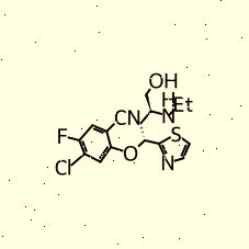 CCN[C@H](CO)C[C@@H](Oc1cc(Cl)c(F)cc1C#N)c1nccs1